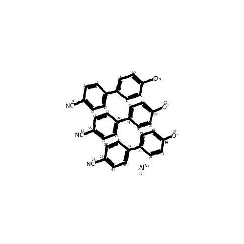 N#Cc1ccc(-c2ccc([O-])cc2)cc1.N#Cc1ccc(-c2ccc([O-])cc2)cc1.N#Cc1ccc(-c2ccc([O-])cc2)cc1.[Al+3]